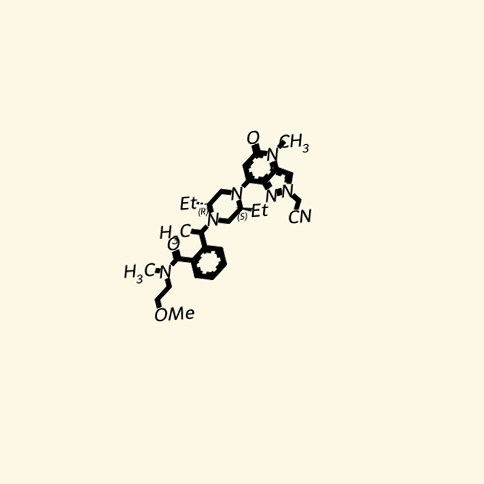 CC[C@H]1CN(C(C)c2ccccc2C(=O)N(C)CCOC)[C@H](CC)CN1c1cc(=O)n(C)c2cn(CC#N)nc12